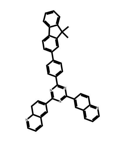 CC1(C)c2ccccc2-c2ccc(-c3ccc(-c4nc(C5=CCC6N=CC=CC6=C5)nc(-c5ccc6ncccc6c5)n4)cc3)cc21